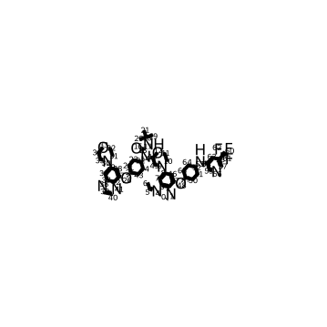 C=Nc1c(/N=C\C)cc(N2CCOC(N(C(=O)NC(C)(C)C)[C@H]3CC[C@@H](Oc4cc(N5CCOCC5)cc5nccnc45)CC3)C2)cc1O[C@H]1CC[C@@H](Nc2cncc(C(F)(F)F)c2)CC1